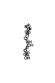 CC1CN(C)c2cc(S(=O)(=O)N3CCC4(CC3)CC(NCC(O)COc3cccc(S(=O)(=O)C5(CO)CC5)c3)CO4)cnc2O1